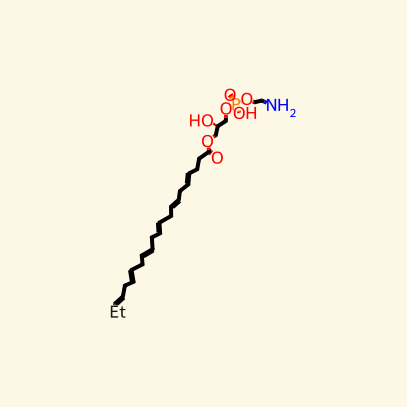 CC/C=C/C/C=C/C/C=C/C/C=C/C/C=C/C/C=C/CCC(=O)OC[C@@H](O)COP(=O)(O)OCCN